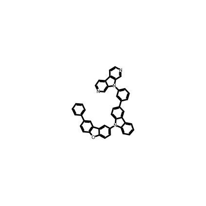 c1ccc(-c2ccc3oc4ccc(-n5c6ccccc6c6cc(-c7cccc(-n8c9cnccc9c9ccncc98)c7)ccc65)cc4c3c2)cc1